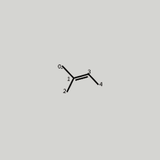 [CH2]C(C)=CC